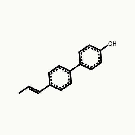 CC=Cc1ccc(-c2ccc(O)cc2)cc1